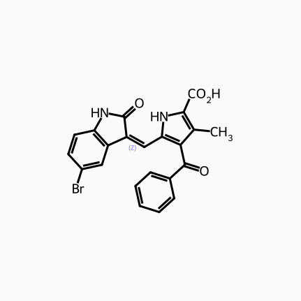 Cc1c(C(=O)O)[nH]c(/C=C2\C(=O)Nc3ccc(Br)cc32)c1C(=O)c1ccccc1